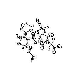 Cc1c(C#N)sc2c1c(=O)n(C(C)(C)C(=O)O)c(=O)n2CC(OC1CCOCC1)c1cc(F)ccc1OCCF